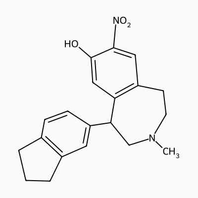 CN1CCc2cc([N+](=O)[O-])c(O)cc2C(c2ccc3c(c2)CCC3)C1